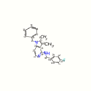 Cc1c(C)n(Cc2ccccc2)c2ccnc(NCc3ccc(F)cc3)c12